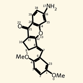 COc1ccc(OC)c(/C=C2\CCc3c2oc2cc(N)ccc2c3=O)c1